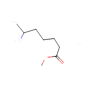 CCOC(=O)[C@@H](CCCC(N)C(C)CC)C(=O)OC(C)(C)C